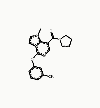 Cn1ccc2c(Oc3cccc(C(F)(F)F)c3)ncc(C(=O)N3CCCC3)c21